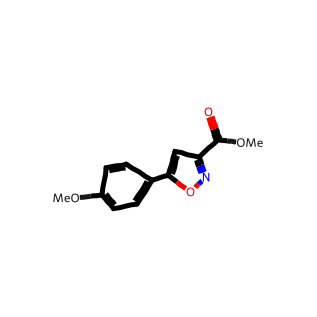 COC(=O)c1cc(-c2ccc(OC)cc2)on1